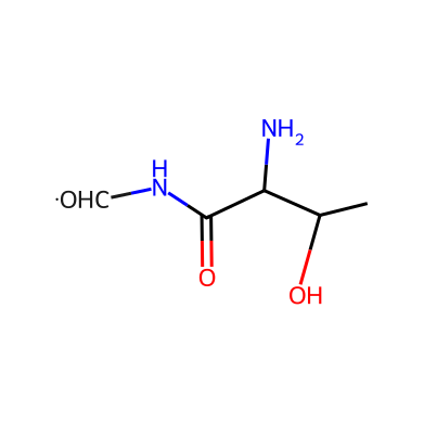 CC(O)C(N)C(=O)N[C]=O